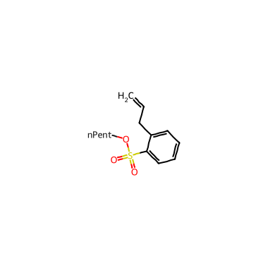 C=CCc1ccccc1S(=O)(=O)OCCCCC